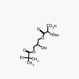 CCCCCCCCCCC(C(=O)O)C(=O)OCC(O)COC(=O)C(C)(C)CC